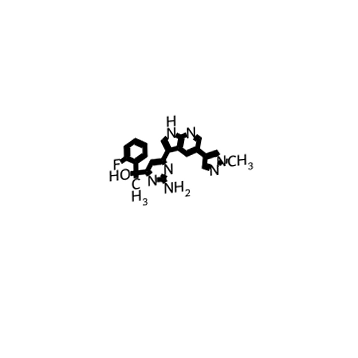 Cn1cc(-c2cnc3[nH]cc(-c4cc(C(C)(O)c5ccccc5F)nc(N)n4)c3c2)cn1